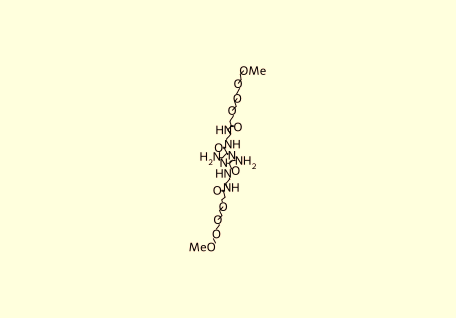 COCCOCCOCCOCCC(=O)NCCNC(=O)c1nc(N)c(C(=O)NCCNC(=O)CCOCCOCCOCCOC)nc1N